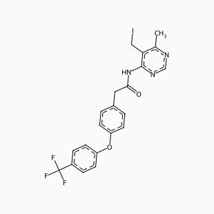 Cc1ncnc(NC(=O)Cc2ccc(Oc3ccc(C(F)(F)F)cc3)cc2)c1CI